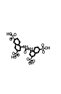 O=C(Nc1cc(S(=O)(=O)O)cc2cc(S(=O)(=O)O)ccc12)Nc1cc(S(=O)(=O)O)cc2cc(S(=O)(=O)O)ccc12